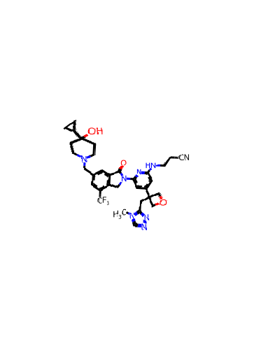 Cn1cnnc1CC1(c2cc(NCCC#N)nc(N3Cc4c(cc(CN5CCC(O)(C6CC6)CC5)cc4C(F)(F)F)C3=O)c2)COC1